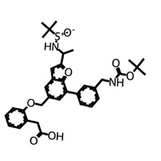 CC(N[S@@+]([O-])C(C)(C)C)c1cc2cc(COc3ccccc3CC(=O)O)cc(-c3cccc(CNC(=O)OC(C)(C)C)c3)c2o1